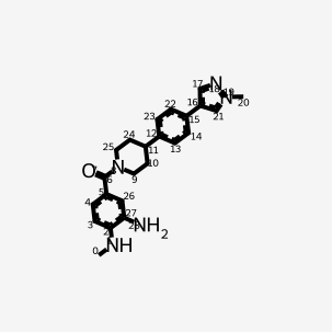 CNc1ccc(C(=O)N2CCC(c3ccc(-c4cnn(C)c4)cc3)CC2)cc1N